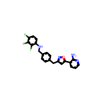 Nc1ncccc1-c1cc(Cc2ccc(CNc3ccc(F)c(F)c3F)cc2)no1